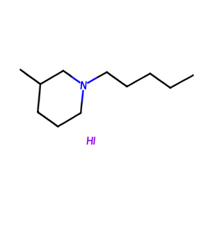 CCCCCN1CCCC(C)C1.I